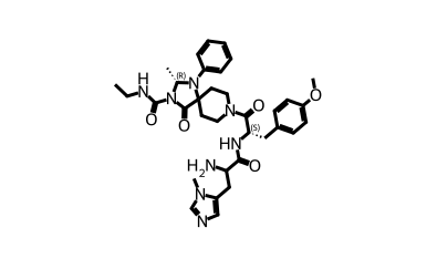 CCNC(=O)N1C(=O)C2(CCN(C(=O)[C@H](Cc3ccc(OC)cc3)NC(=O)C(N)Cc3cncn3C)CC2)N(c2ccccc2)[C@H]1C